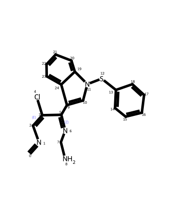 C=N/C=C(Cl)\C(=N/CN)c1cn(Sc2ccccc2)c2ccccc12